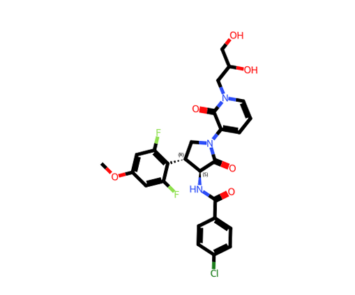 COc1cc(F)c([C@@H]2CN(c3cccn(CC(O)CO)c3=O)C(=O)[C@H]2NC(=O)c2ccc(Cl)cc2)c(F)c1